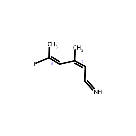 CC(=C/C=N)/C=C(\C)I